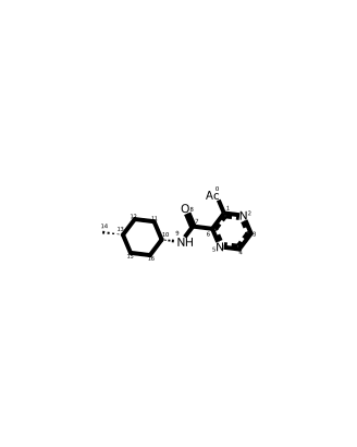 CC(=O)c1nccnc1C(=O)N[C@H]1CC[C@@H](C)CC1